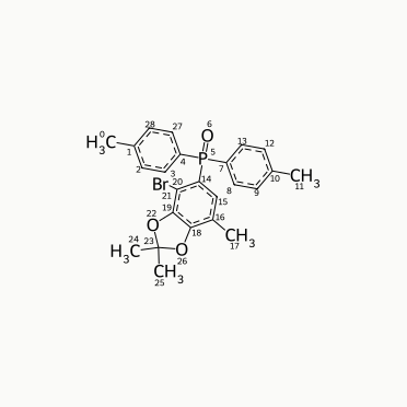 Cc1ccc(P(=O)(c2ccc(C)cc2)c2cc(C)c3c(c2Br)OC(C)(C)O3)cc1